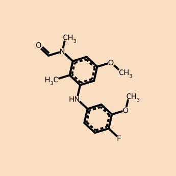 COc1cc(Nc2ccc(F)c(OC)c2)c(C)c(N(C)C=O)c1